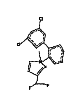 C[N+]1(c2ccccc2-c2cc(Cl)cc(Cl)c2)C=CC(C(F)F)=N1